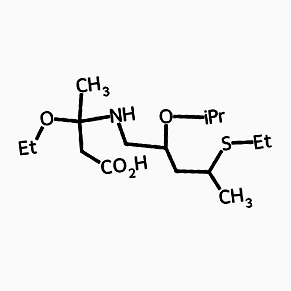 CCOC(C)(CC(=O)O)NCC(CC(C)SCC)OC(C)C